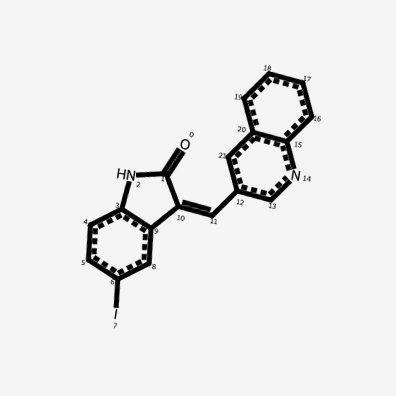 O=C1Nc2ccc(I)cc2C1=Cc1cnc2ccccc2c1